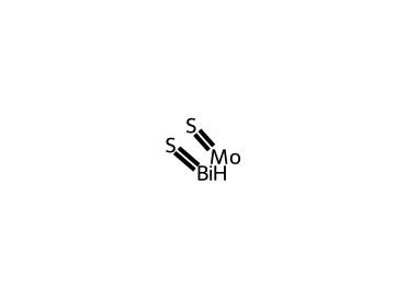 [S]=[BiH].[S]=[Mo]